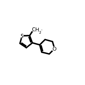 [CH2]c1sccc1C1=CCOCC1